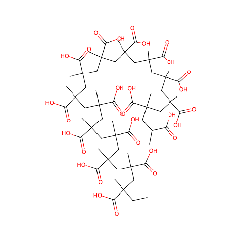 CCC(C)(CC(C)(CC(C)(CC(C)(CC(C)(CC(C)(CC(C)(CC(C)(CC(C)(CC(C)(CC(C)(CC(C)(CC(C)(CC(C)(CC(C)C(=O)O)C(=O)O)C(=O)O)C(=O)O)C(=O)O)C(=O)O)C(=O)O)C(=O)O)C(=O)O)C(=O)O)C(=O)O)C(=O)O)C(=O)O)C(=O)O)C(=O)O